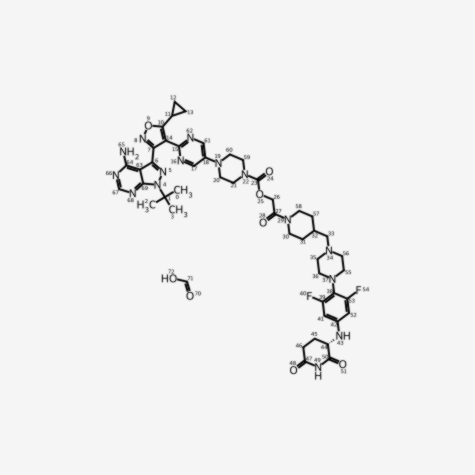 CC(C)(C)n1nc(-c2noc(C3CC3)c2-c2ncc(N3CCN(C(=O)OCC(=O)N4CCC(CN5CCN(c6c(F)cc(N[C@H]7CCC(=O)NC7=O)cc6F)CC5)CC4)CC3)cn2)c2c(N)ncnc21.O=CO